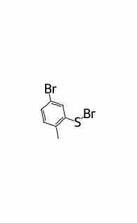 Cc1ccc(Br)cc1SBr